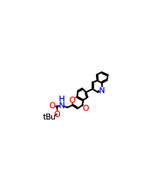 CC(C)(C)OC(=O)NCc1cc(=O)c2cc(-c3cnc4ccccc4c3)ccc2o1